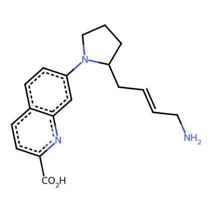 NCC=CCC1CCCN1c1ccc2ccc(C(=O)O)nc2c1